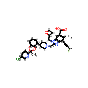 Cc1c(C(=O)O)cc2c(nc(CN3CCC(c4cccc5c4OC(C)(c4ccc(Cl)cn4)O5)CC3)n2CC2CCO2)c1C#CCF